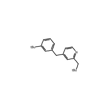 CC(C)(C)Cc1cc(Cc2cccc(C(C)(C)C)c2)ccn1